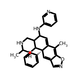 CC1=c2oncc2=C[C@]2(c3ccccc3)C1=CC(Nc1cccnc1)C1CNC(C)NC12